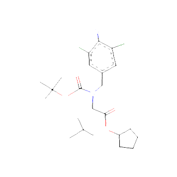 CC(C)C[C@@H](C(=O)OC1CCCC1)N(Cc1cc(F)c(N)c(F)c1)C(=O)OC(C)(C)C